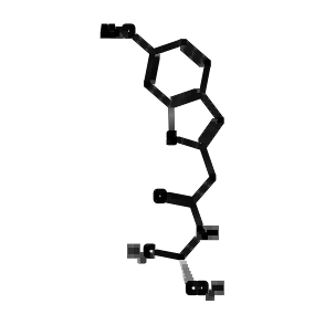 COc1ccc2cc(CC(=O)N[C@@H](C)C(=O)O)sc2c1